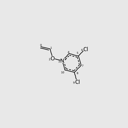 C=CO[n+]1cc(Cl)cc(Cl)c1